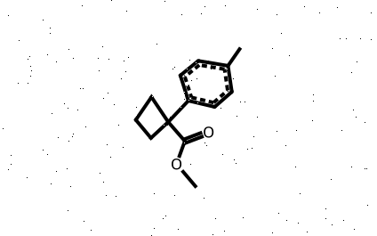 COC(=O)C1(c2ccc(C)cc2)CCC1